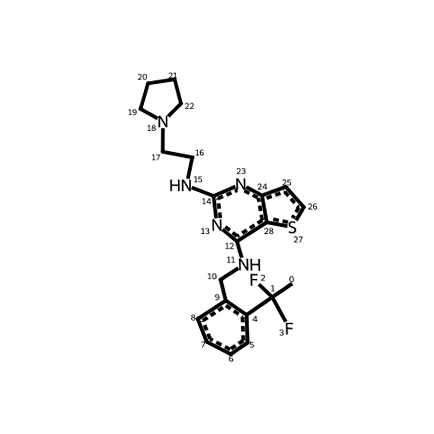 CC(F)(F)c1ccccc1CNc1nc(NCCN2CCCC2)nc2ccsc12